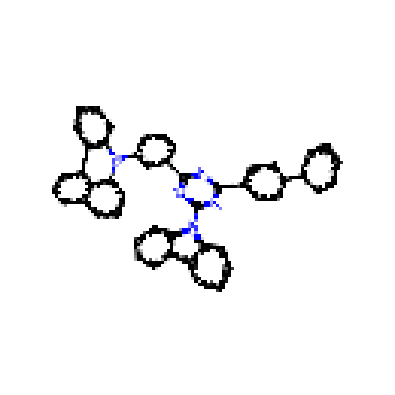 c1ccc(-c2ccc(-c3nc(-c4cccc(N5c6ccccc6-c6cccc7cccc5c67)c4)nc(-n4c5ccccc5c5ccccc54)n3)cc2)cc1